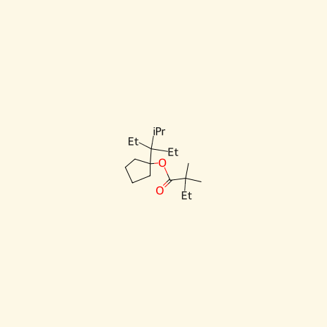 CCC(C)(C)C(=O)OC1(C(CC)(CC)C(C)C)CCCC1